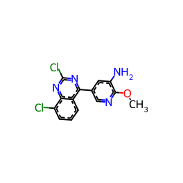 COc1ncc(-c2nc(Cl)nc3c(Cl)cccc23)cc1N